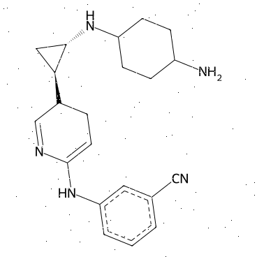 N#Cc1cccc(NC2=CCC([C@H]3C[C@@H]3NC3CCC(N)CC3)C=N2)c1